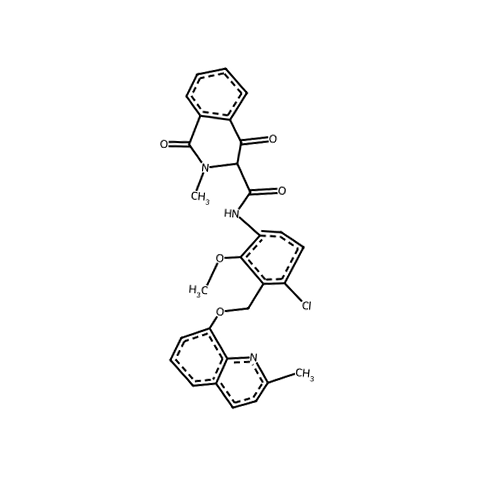 COc1c(NC(=O)C2C(=O)c3ccccc3C(=O)N2C)ccc(Cl)c1COc1cccc2ccc(C)nc12